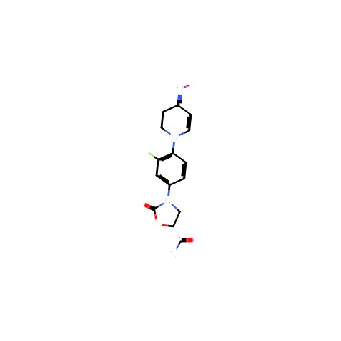 NC(=O)[C@H]1CN(c2ccc(N3C=C/C(=N\O)CC3)c(F)c2)C(=O)O1